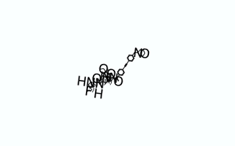 COC(C)(C)C(=O)N1C[C@H](NC(=O)[C@@H]2C[C@H](F)CN2)C[C@@H]1CNC(=O)c1ccc(C#Cc2ccc(CN3CCOCC3)cc2)cc1